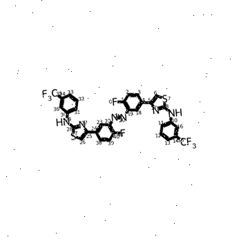 Fc1ccc(-c2csc(Nc3cccc(C(F)(F)F)c3)n2)cc1/N=N/c1cc(-c2csc(Nc3cccc(C(F)(F)F)c3)n2)ccc1F